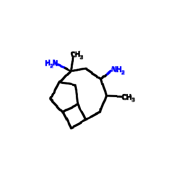 CC1CC2CC3CC(CC23)C(C)(N)CC1N